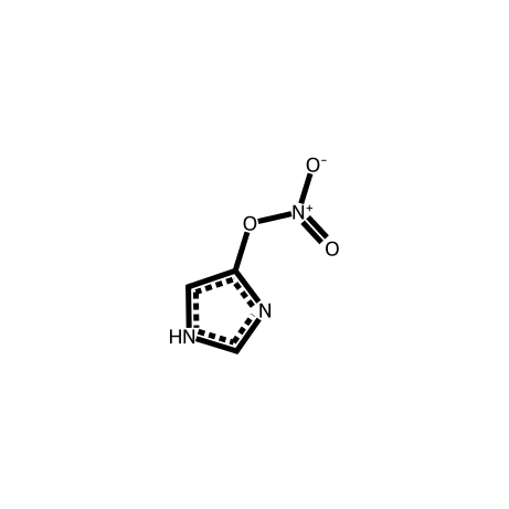 O=[N+]([O-])Oc1c[nH]cn1